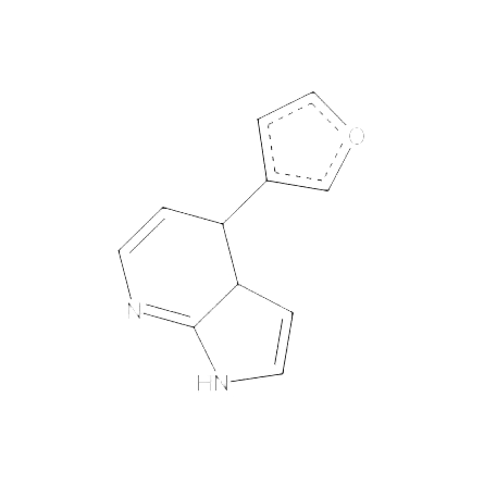 C1=CC(c2ccoc2)C2C=CNC2=N1